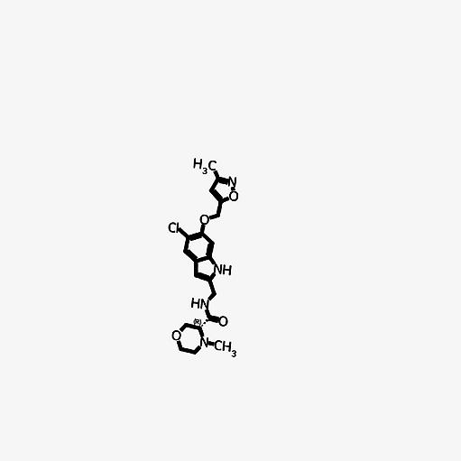 Cc1cc(COc2cc3[nH]c(CNC(=O)[C@H]4COCCN4C)cc3cc2Cl)on1